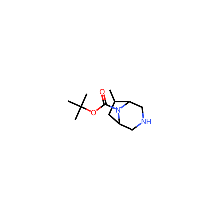 CC1CC2CNCC1N2C(=O)OC(C)(C)C